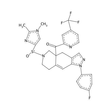 Cc1nc([S+]([O-])N2CCC3=Cc4c(cnn4-c4ccc(F)cc4)CC3(C(=O)c3cc(C(F)(F)F)ccn3)C2)cn1C